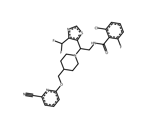 N#Cc1cccc(OCC2CCN(C(CNC(=O)c3c(F)cccc3Cl)c3scnc3C(F)F)CC2)n1